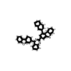 c1ccc2cc(-c3cc(-c4nc(-c5ccc6c(c5)oc5ccccc56)c5ccccc5n4)cc4sc5ccccc5c34)ccc2c1